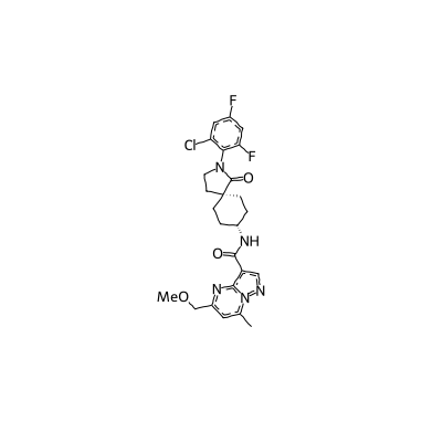 COCc1cc(C)n2ncc(C(=O)N[C@H]3CC[C@@]4(CCN(c5c(F)cc(F)cc5Cl)C4=O)CC3)c2n1